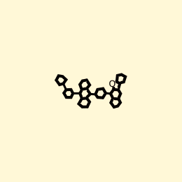 c1ccc(-c2cccc(-c3c4ccccc4c(-c4ccc(-c5c6ccccc6cc6c5oc5ccccc56)cc4)c4ccccc34)c2)cc1